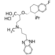 CC(C)[C@H]1c2ccc(F)cc2CC[C@H]1COC(CCN(C)CCCc1nc2ccccc2[nH]1)C(=O)O.Cl